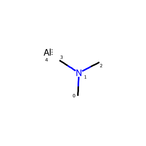 CN(C)C.[Al]